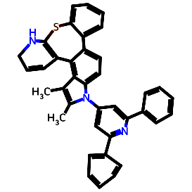 Cc1c(C)n(-c2cc(-c3ccccc3)nc(-c3ccccc3)c2)c2ccc3c(c12)C1=C(NCC=C1)Sc1ccccc1-3